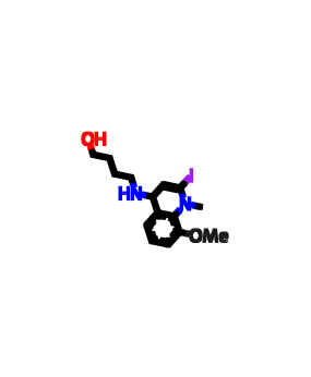 COc1cccc2c1N(C)C(I)=CC2NCCCCO